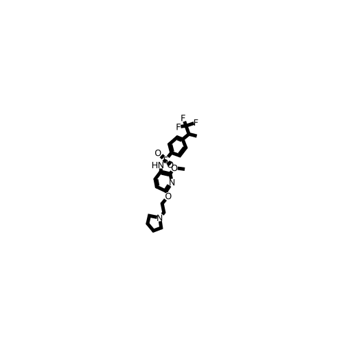 COc1nc(OCCN2CCCC2)ccc1NS(=O)(=O)c1ccc(C(C)C(F)(F)F)cc1